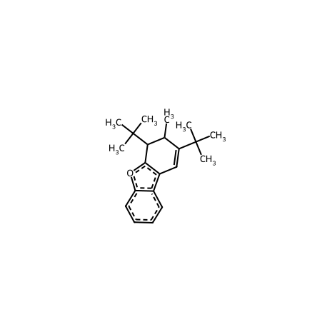 CC1C(C(C)(C)C)=Cc2c(oc3ccccc23)C1C(C)(C)C